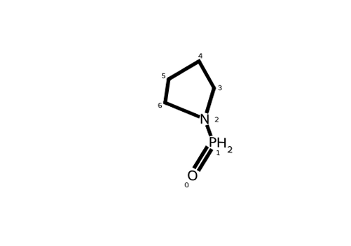 O=[PH2]N1CCCC1